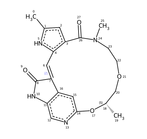 Cc1cc2c([nH]1)/C=C1\C(=O)Nc3cnc(cc31)O[C@@H](C)COCCN(C)C2=O